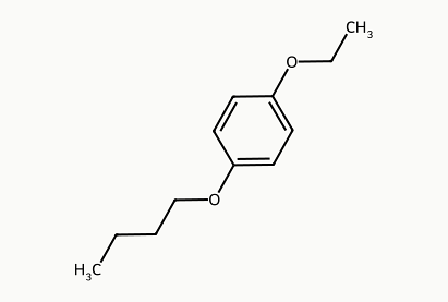 CCCCOc1ccc(OCC)cc1